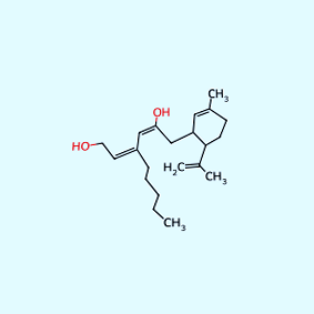 C=C(C)C1CCC(C)=CC1C/C(O)=C\C(=C/CO)CCCCC